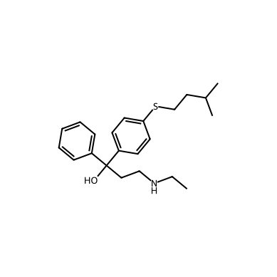 CCNCCC(O)(c1ccccc1)c1ccc(SCCC(C)C)cc1